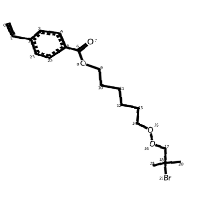 C=Cc1ccc(C(=O)OCCCCCCOOCC(C)(C)Br)cc1